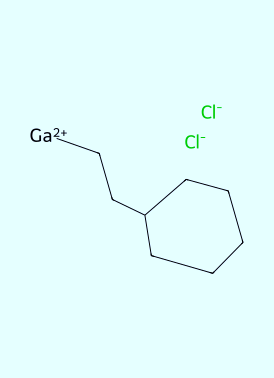 [Cl-].[Cl-].[Ga+2][CH2]CC1CCCCC1